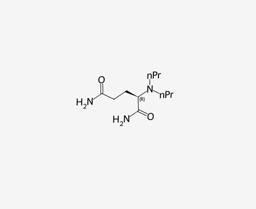 CCCN(CCC)[C@H](CCC(N)=O)C(N)=O